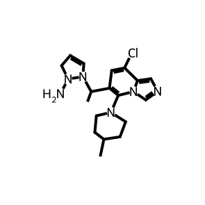 CC1CCN(c2c(C(C)N3C=CCN3N)cc(Cl)c3cncn23)CC1